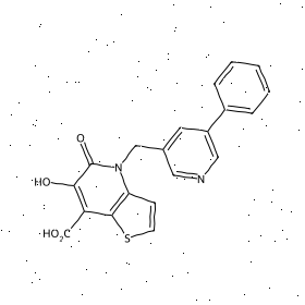 O=C(O)c1c(O)c(=O)n(Cc2cncc(-c3ccccc3)c2)c2ccsc12